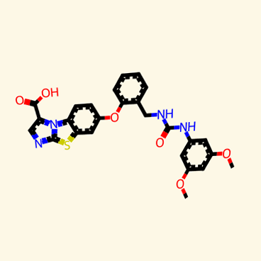 COc1cc(NC(=O)NCc2ccccc2Oc2ccc3c(c2)sc2ncc(C(=O)O)n23)cc(OC)c1